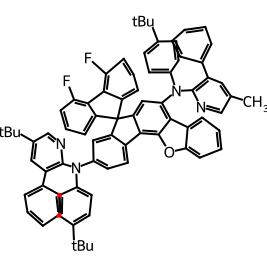 Cc1cnc(N(c2ccc(C(C)(C)C)cc2)c2cc3c(c4oc5ccccc5c24)-c2ccc(N(c4ccc(C(C)(C)C)cc4)c4ncc(C(C)(C)C)cc4-c4ccccc4)cc2C32c3cccc(F)c3-c3c(F)cccc32)c(-c2ccccc2)c1